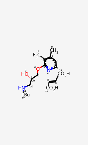 Cc1ccnc(OC[C@@H](O)CNC(C)(C)C)c1C(F)(F)F.O=C(O)C=CC(=O)O